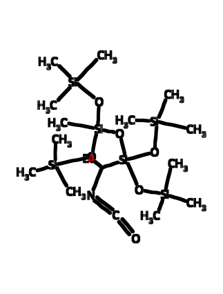 CCC(N=C=O)[Si](O[Si](C)(C)C)(O[Si](C)(C)C)O[Si](C)(O[Si](C)(C)C)O[Si](C)(C)C